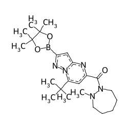 CN1CCCCCN1C(=O)c1cc(C(C)(C)C)n2nc(B3OC(C)(C)C(C)(C)O3)cc2n1